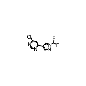 FC(F)n1cc(-c2cc(Cl)ncn2)cn1